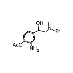 CC(=O)Oc1ccc(C(O)CNC(C)C)cc1N